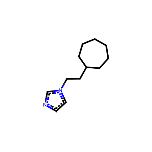 [c]1cn(CCC2CCCCCC2)cn1